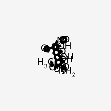 CN(C)C1C(O)=C(C(N)=O)C(=O)C2(O)C(O)=C3C(=O)c4c(O)c(CN5CCOCC5)cc(-c5ccoc5)c4CC3CC12